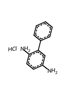 Cl.Nc1ccc(N)c(-c2ccccc2)c1